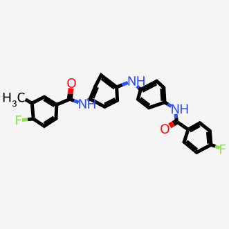 CC1C=C(C(=O)Nc2ccc(Nc3ccc(NC(=O)c4ccc(F)cc4)cc3)cc2)C=CC1F